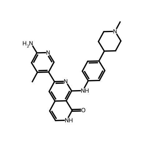 Cc1cc(N)ncc1-c1cc2cc[nH]c(=O)c2c(Nc2ccc(C3CCN(C)CC3)cc2)n1